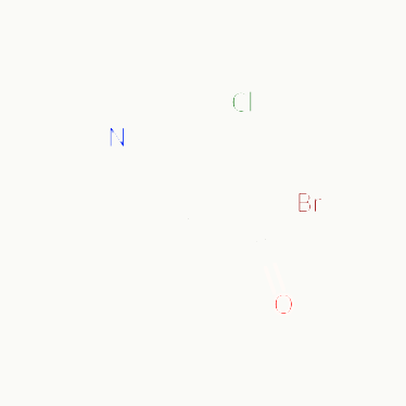 O=C(Br)c1cccnc1Cl